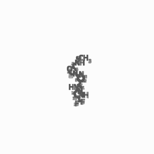 CSNCC1CN(c2cc(-c3cnc(/C=C\C(=N)C(F)F)[nH]3)ccn2)CCO1